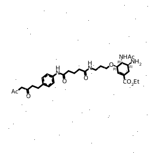 CCOC(=O)C1=C[C@@H](OCCCNC(=O)CCCC(=O)Nc2ccc(CCC(=O)CC(C)=O)cc2)[C@H](NC(C)=O)[C@@H](N)C1